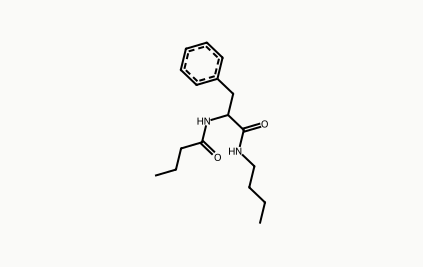 CCCCNC(=O)C(Cc1ccccc1)NC(=O)CCC